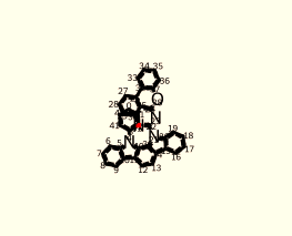 c1ccc(-n2c3ccccc3c3ccc4c5ccccc5n(-c5nc6c7c(cccc7n5)-c5ccccc5O6)c4c32)cc1